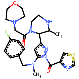 CN(Cc1ccc(F)cc1)c1cc(C2C(C(F)(F)F)NCCN2C(=O)CN2CCOCC2)nn1C(=O)c1cscn1